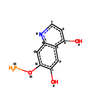 Oc1cc2c(O)ccnc2cc1OP